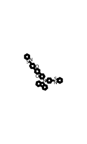 c1ccc2c(c1)-c1ccccc1C2N(c1ccc(-c2nc3ccccc3s2)cc1)c1ccc2c(c1)oc1cc3c(cc12)oc1cc(-c2nc4ccccc4s2)ccc13